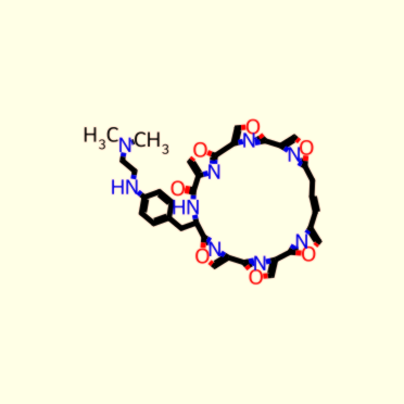 CN(C)CCNc1ccc(CC2NC(=O)c3coc(n3)-c3coc(n3)-c3coc(n3)C/C=C/c3coc(n3)-c3coc(n3)-c3coc2n3)cc1